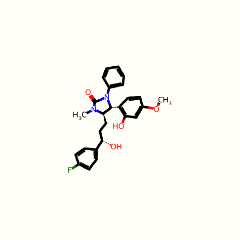 COc1ccc([C@@H]2[C@@H](CC[C@H](O)c3ccc(F)cc3)N(C)C(=O)N2c2ccccc2)c(O)c1